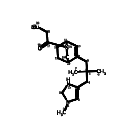 CN1C=C(CC(C)(C)CC2=CC3CCC2CN3C(=O)CC(C)(C)C)NC1